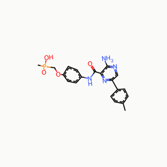 Cc1ccc(-c2cnc(N)c(C(=O)Nc3ccc(OCP(C)(=O)O)cc3)n2)cc1